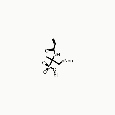 C=CC(=O)NC(C)(CCCCCCCCCC)S(=O)(=O)OCC